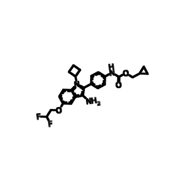 Nc1c(-c2ccc(NC(=O)OCC3CC3)cc2)n(C2CCC2)c2ccc(OCC(F)F)cc12